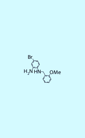 COc1ccccc1CNc1ccc(Br)cc1N